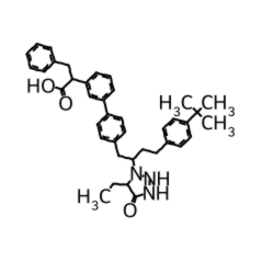 CCC1C(=O)NNN1C(CCc1ccc(C(C)(C)C)cc1)Cc1ccc(-c2cccc(C(Cc3ccccc3)C(=O)O)c2)cc1